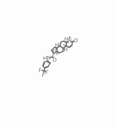 CN1C(=O)C=C[C@]2(C)[C@H]3CC[C@]4(C)[C@@H](C(=O)Nc5ccc(C(F)(F)F)cc5)CC[C@H]4[C@@H]3CC[C@@H]12